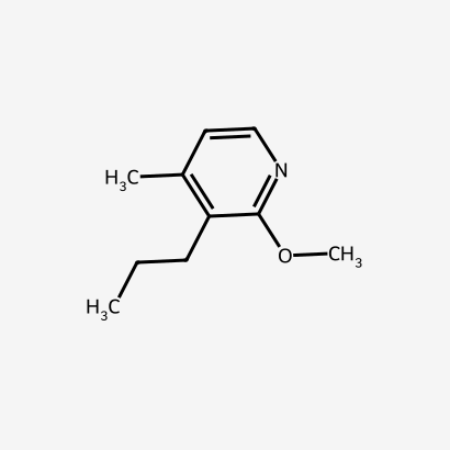 CCCc1c(C)ccnc1OC